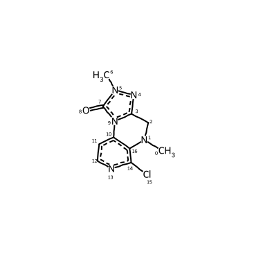 CN1Cc2nn(C)c(=O)n2-c2ccnc(Cl)c21